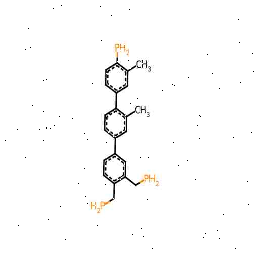 Cc1cc(-c2ccc(-c3ccc(CP)c(CP)c3)cc2C)ccc1P